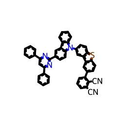 N#Cc1cccc(-c2ccc3sc4ccc(-n5c6ccccc6c6cc(-c7nc(-c8ccccc8)cc(-c8ccccc8)n7)ccc65)cc4c3c2)c1C#N